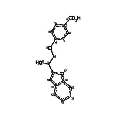 O=C(O)c1ccc(OCC(O)c2cc3ccccc3o2)cc1